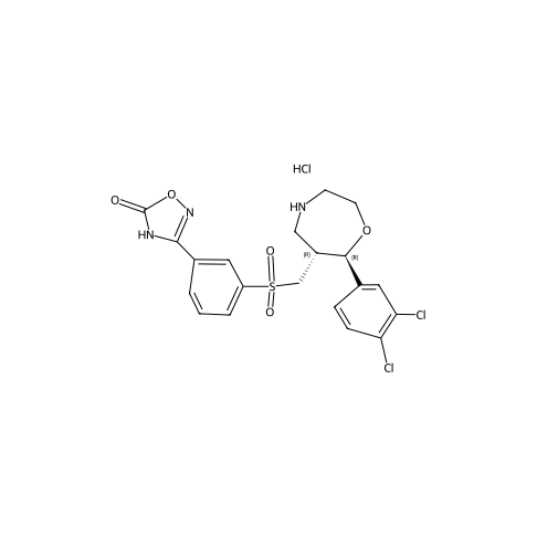 Cl.O=c1[nH]c(-c2cccc(S(=O)(=O)C[C@@H]3CNCCO[C@H]3c3ccc(Cl)c(Cl)c3)c2)no1